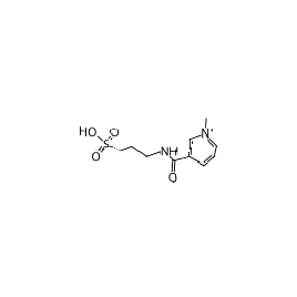 C[n+]1cccc(C(=O)NCCCS(=O)(=O)O)c1